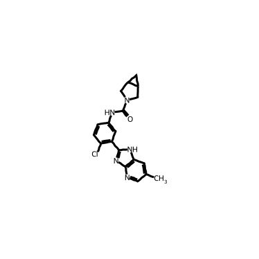 Cc1cnc2nc(-c3cc(NC(=O)N4CC5CC5C4)ccc3Cl)[nH]c2c1